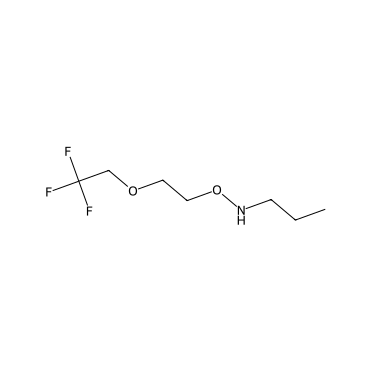 CCCNOCCOCC(F)(F)F